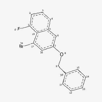 Fc1cccc2cc(OCc3ccccc3)cc(Br)c12